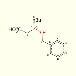 CCCC[C@@H](CC(=O)O)OCc1ccccc1